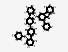 c1ccc(-c2cc(-n3c4ccccc4c4ccc(-c5ccc6c7ccccc7n(-c7ccccc7)c6c5)cc43)cc3c2sc2ccccc23)cc1